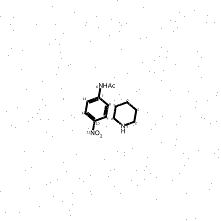 C1CCNCC1.CC(=O)Nc1ccc([N+](=O)[O-])cc1